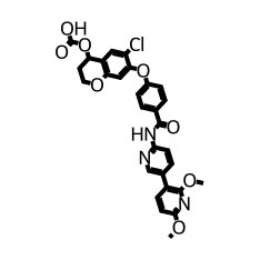 COc1ccc(-c2ccc(NC(=O)c3ccc(Oc4cc5c(cc4Cl)C(OC(=O)O)CCO5)cc3)nc2)c(OC)n1